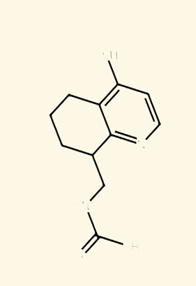 Cc1ccnc2c1CCCC2CNC(=O)S